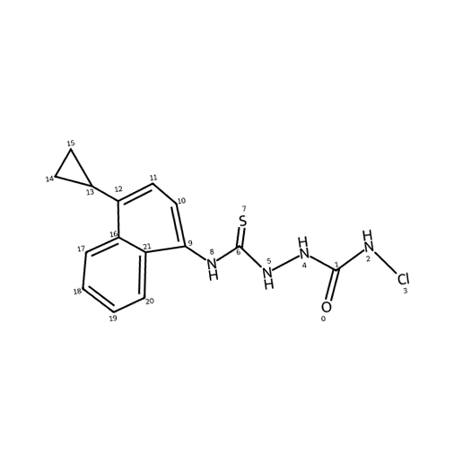 O=C(NCl)NNC(=S)Nc1ccc(C2CC2)c2ccccc12